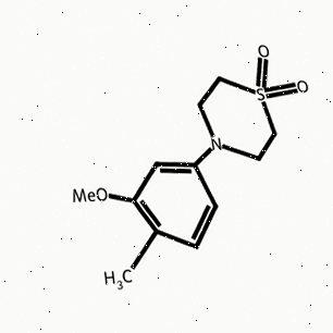 COc1cc(N2CCS(=O)(=O)CC2)ccc1C